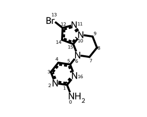 Nc1nccc(N2CCCn3nc(Br)cc32)n1